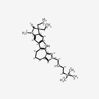 CCC1(CC)C(=O)N(C)c2cc3c4c([nH]c3cc21)-c1nn(COCC[Si](C)(C)C)cc1CCC4